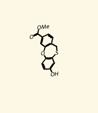 COC(=O)c1ccc2c(c1)Oc1ccc(O)cc1SC2